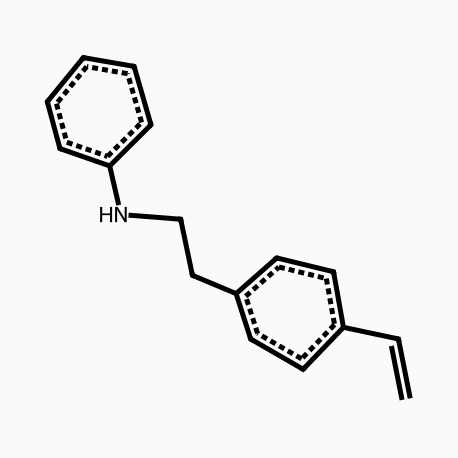 C=Cc1ccc(CCNc2ccccc2)cc1